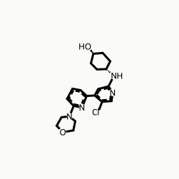 O[C@H]1CC[C@H](Nc2cc(-c3cccc(N4CCOCC4)n3)c(Cl)cn2)CC1